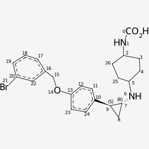 O=C(O)NC1CCC(N[C@@H]2C[C@H]2c2ccc(OCc3cccc(Br)c3)cc2)CC1